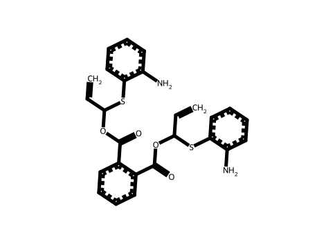 C=CC(OC(=O)c1ccccc1C(=O)OC(C=C)Sc1ccccc1N)Sc1ccccc1N